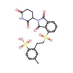 Cc1ccc(S(=O)(=O)O)c(CCS(=O)(=O)c2cccc3c2C(=O)N(C2CCC(=O)NC2=O)C3=O)c1